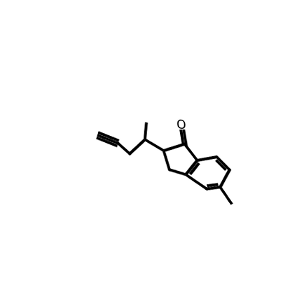 C#CCC(C)C1Cc2cc(C)ccc2C1=O